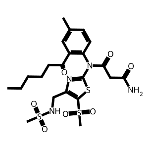 CCCCCC(=O)c1cc(C)ccc1N(C(=O)CC(N)=O)c1nc(CNS(C)(=O)=O)c(S(C)(=O)=O)s1